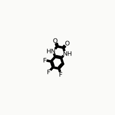 O=c1[nH]c2cc(F)c(F)c(F)c2[nH]c1=O